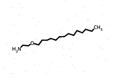 CCCCCCCCCCCCCCOCCN